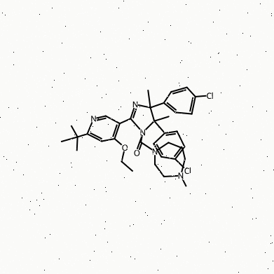 CCOc1cc(C(C)(C)C)ncc1C1=NC(C)(c2ccc(Cl)cc2)C(C)(c2ccc(Cl)cc2)N1C(=O)N1CCCN(C)CC1